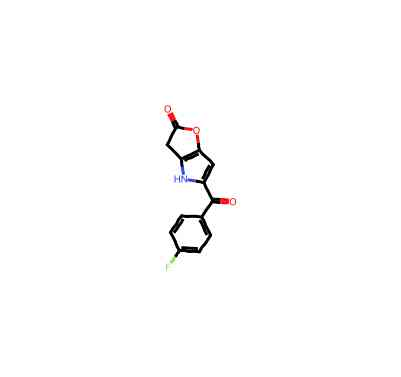 O=C1Cc2[nH]c(C(=O)c3ccc(F)cc3)cc2O1